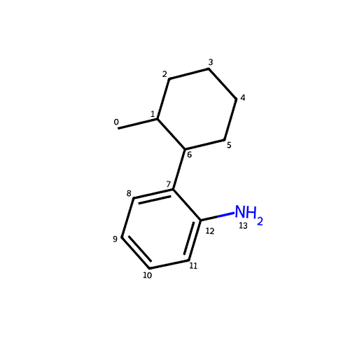 CC1CCCCC1c1ccccc1N